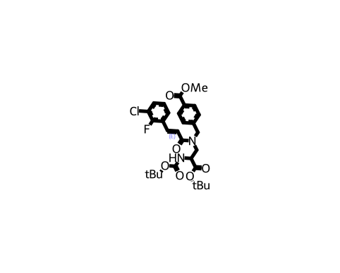 COC(=O)c1ccc(CN(CC(NC(=O)OC(C)(C)C)C(=O)OC(C)(C)C)C(=O)/C=C/c2cccc(Cl)c2F)cc1